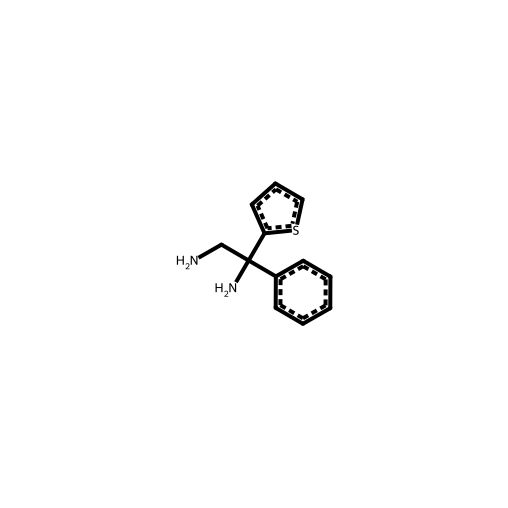 NCC(N)(c1ccccc1)c1cccs1